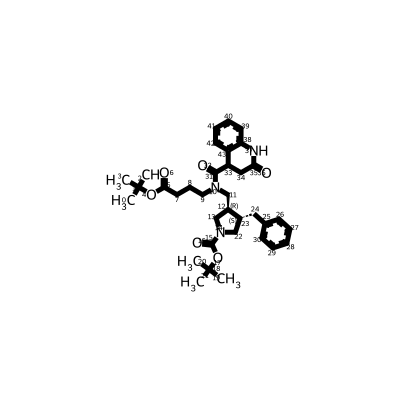 CC(C)(C)OC(=O)CCCN(C[C@@H]1CN(C(=O)OC(C)(C)C)C[C@H]1Cc1ccccc1)C(=O)C1CC(=O)Nc2ccccc21